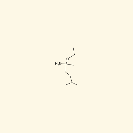 BC(C)(CCC(C)C)OCC